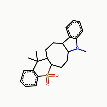 CN1c2ccccc2C2CCC3C(CCC21)S(=O)(=O)c1ccccc1C3(C)C